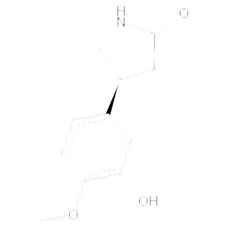 COc1ccc([C@H]2CNC(=O)C2)cc1O